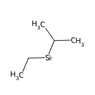 CC[Si]C(C)C